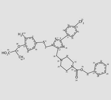 Cc1cc(SCc2sc(-c3ccc(C(F)(F)F)cc3)nc2CN2CCN(C(=O)OCc3ccccc3)CC2)ccc1OC(C)C(=O)O